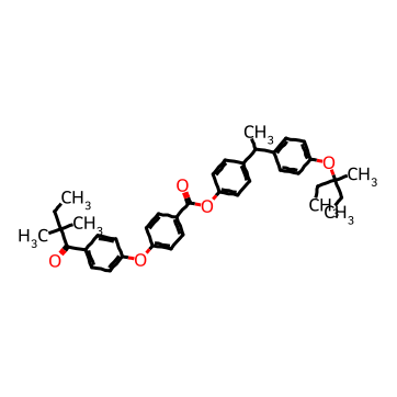 CCC(C)(CC)Oc1ccc(C(C)c2ccc(OC(=O)c3ccc(Oc4ccc(C(=O)C(C)(C)CC)cc4)cc3)cc2)cc1